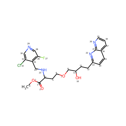 COC(=O)C(CCOCC(O)CCc1ccc2cccnc2n1)NCc1c(F)cncc1Cl